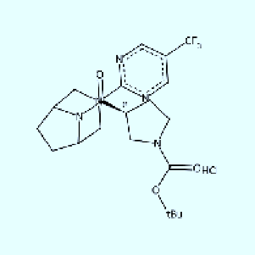 CC(C)(C)OC(=O)N1CC[C@H](C(=O)N2C3CCC2CN(c2ncc(C(F)(F)F)cn2)C3)C1.Cl